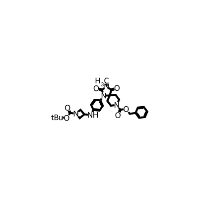 CN1C(=O)N(c2ccc(NC3CN(C(=O)OC(C)(C)C)C3)cc2)C2(CCN(C(=O)OCc3ccccc3)CC2)C1=O